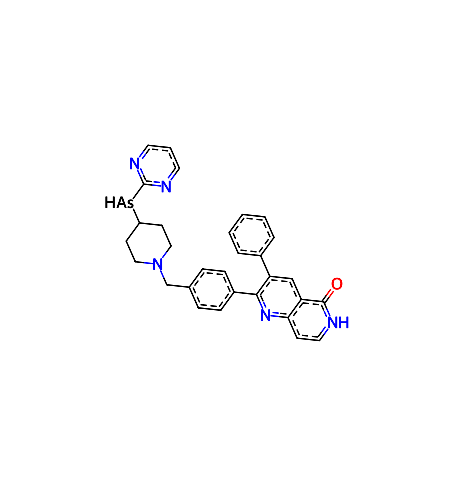 O=c1[nH]ccc2nc(-c3ccc(CN4CCC([AsH]c5ncccn5)CC4)cc3)c(-c3ccccc3)cc12